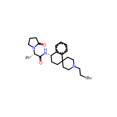 CC(C)[C@@H](C(=O)N[C@H]1CCC2(CCN(CCC(C)(C)C)CC2)c2ccccc21)N1CCCC1=O